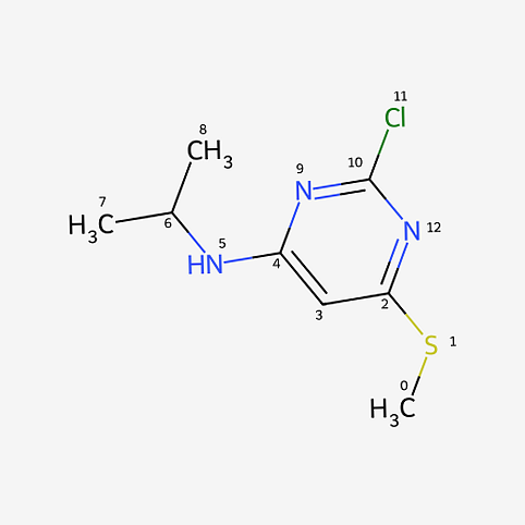 CSc1cc(NC(C)C)nc(Cl)n1